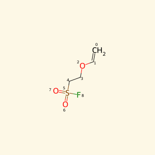 C=COCCS(=O)(=O)F